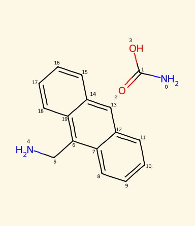 NC(=O)O.NCc1c2ccccc2cc2ccccc12